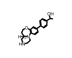 CC(O)c1ccc(-c2ccc3c(c2)OCC[C@H]2CNCCN32)cc1